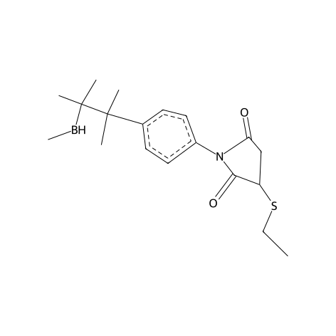 CBC(C)(C)C(C)(C)c1ccc(N2C(=O)CC(SCC)C2=O)cc1